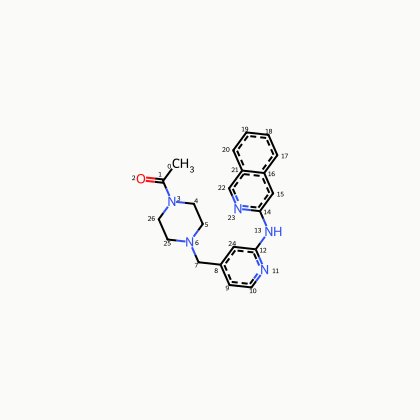 CC(=O)N1CCN(Cc2ccnc(Nc3cc4ccccc4cn3)c2)CC1